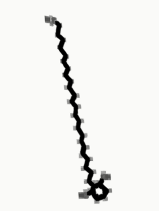 CCCCCCCCCCCCCCCCCCCC=CCCCCc1c(O)cccc1O